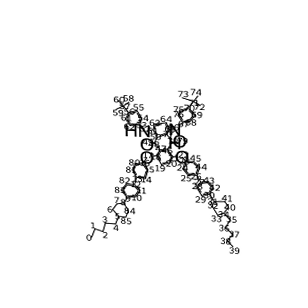 CCCCCC1CCC(c2ccc(-c3ccc(Oc4ccc(Oc5ccc(-c6ccc(C7CCC(CCCCC)CC7)cc6)cc5)c5c4C(=O)c4c(Nc6ccc(C(C)(C)C)cc6)ccc(Nc6ccc(C(C)(C)C)cc6)c4C5=O)cc3)cc2)CC1